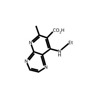 CCNc1c(C(=O)O)c(C)nc2nccnc12